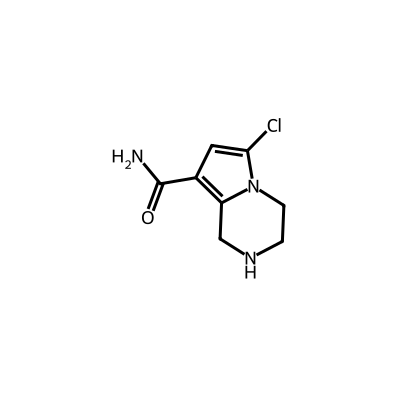 NC(=O)c1cc(Cl)n2c1CNCC2